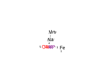 O=[P].[Fe].[Mn].[Na]